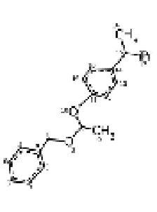 CC(OCc1ccccc1)Oc1ccc(C(C)C(C)C)cc1